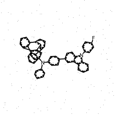 Fc1ccc(-n2c3ccccc3c3cc(-c4ccc(N(c5ccccc5)c5ccc6c(c5)-c5c7cccc5-c5cccc-6c5-c5ccccc5-7)cc4)ccc32)cc1